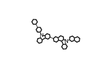 c1ccc(-c2ccc(-n3c4ccccc4c4cc(-c5ccc6c(ccc7c6c6ccccc6n7-c6ccc7ccccc7c6)c5)ccc43)cc2)cc1